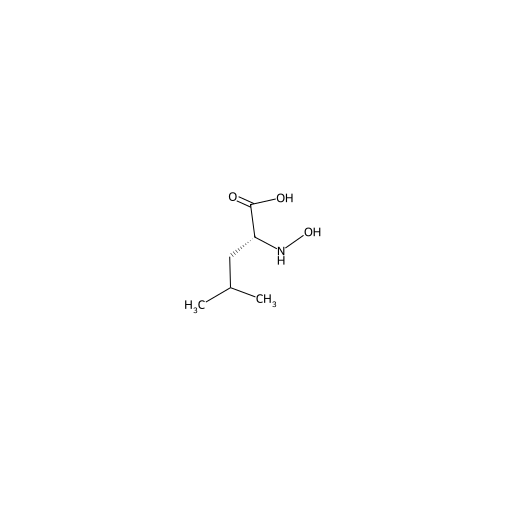 CC(C)C[C@@H](NO)C(=O)O